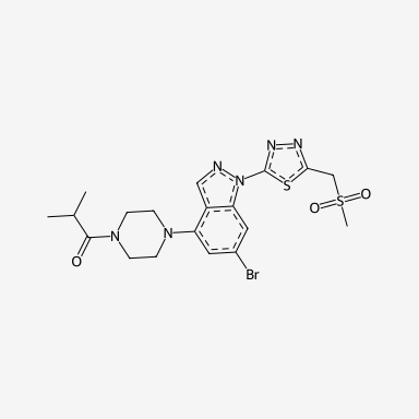 CC(C)C(=O)N1CCN(c2cc(Br)cc3c2cnn3-c2nnc(CS(C)(=O)=O)s2)CC1